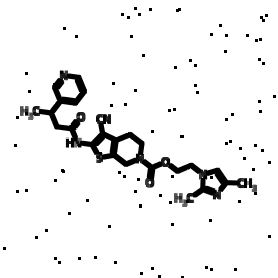 Cc1cn(CCOC(=O)N2CCc3c(sc(NC(=O)CC(C)c4cccnc4)c3C#N)C2)c(C)n1